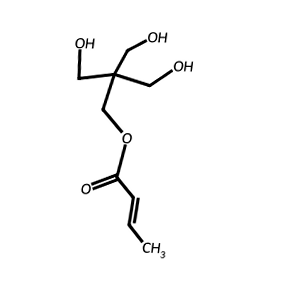 C/C=C/C(=O)OCC(CO)(CO)CO